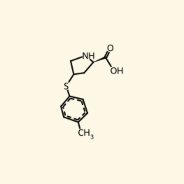 Cc1ccc(SC2CN[C@@H](C(=O)O)C2)cc1